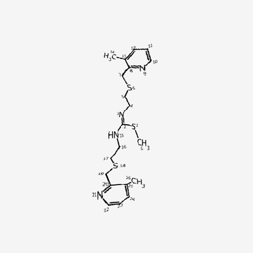 CSC(=NCCSCc1ncccc1C)NCCSCc1ncccc1C